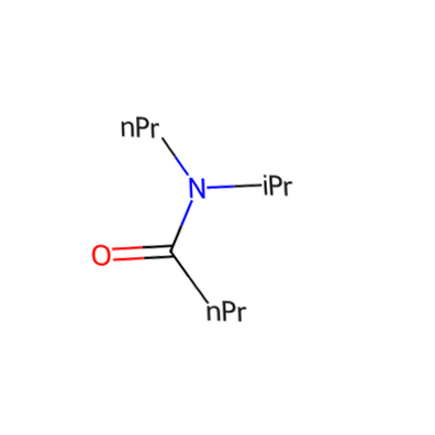 [CH2]CCC(=O)N(CCC)C(C)C